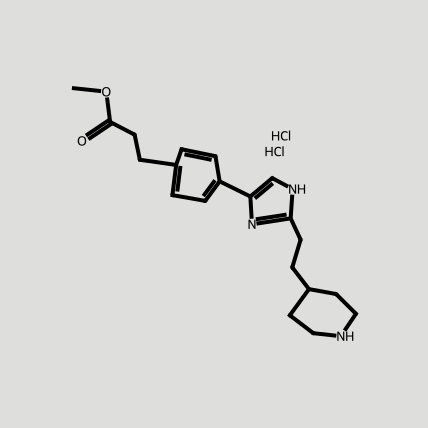 COC(=O)CCc1ccc(-c2c[nH]c(CCC3CCNCC3)n2)cc1.Cl.Cl